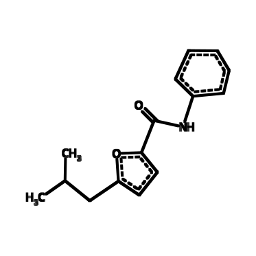 CC(C)Cc1ccc(C(=O)Nc2ccccc2)o1